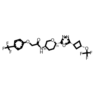 O=C(COc1ccc(C(F)(F)F)cc1)N[C@@H]1CC[C@@H](c2nnc([C@H]3C[C@@H](OC(F)(F)F)C3)o2)OC1